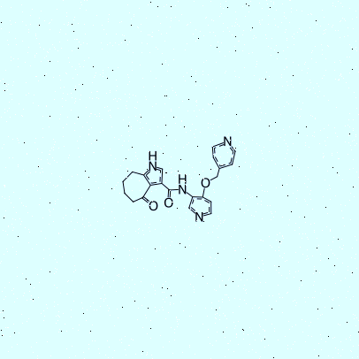 O=C(Nc1cnccc1OCc1ccncc1)c1c[nH]c2c1C(=O)CCCC2